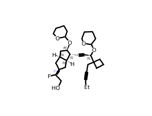 CCC#CCC1([C@@H](C#C[C@@H]2[C@H]3C/C(=C(/F)CO)C[C@H]3C[C@H]2OC2CCCCO2)OC2CCCCO2)CCC1